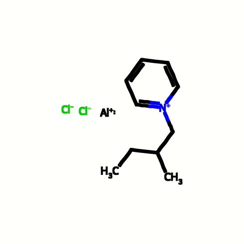 CCC(C)C[n+]1ccccc1.[Al+].[Cl-].[Cl-]